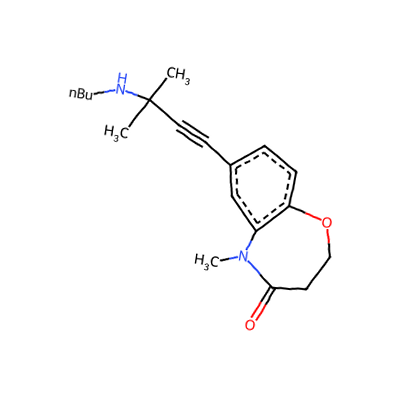 CCCCNC(C)(C)C#Cc1ccc2c(c1)N(C)C(=O)CCO2